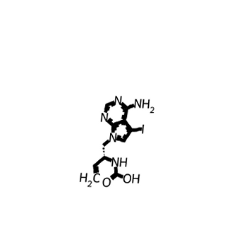 C=C[C@H](Cn1cc(I)c2c(N)ncnc21)NC(=O)O